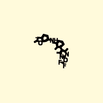 Cc1nc(OC(F)F)nc(C)c1-c1cccc(CNc2ccc3c(c2)OC(C)[CH]3)c1C